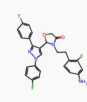 Nc1ccc(CCN2C(=O)COC2c2cn(-c3ccc(F)cc3)nc2-c2ccc(F)cc2)c(F)c1